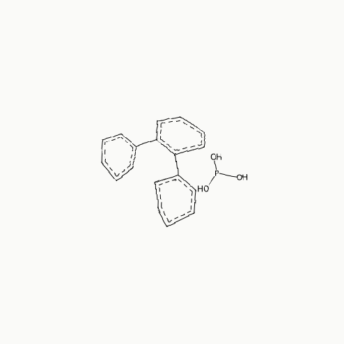 OP(O)O.c1ccc(-c2ccccc2-c2ccccc2)cc1